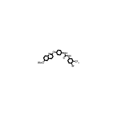 COc1ccc2nc(Oc3ccc(NC(=O)Nc4ccc(Br)c(C(F)(F)F)c4)cc3)ccc2c1